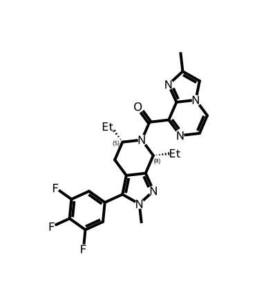 CC[C@H]1Cc2c(nn(C)c2-c2cc(F)c(F)c(F)c2)[C@@H](CC)N1C(=O)c1nccn2cc(C)nc12